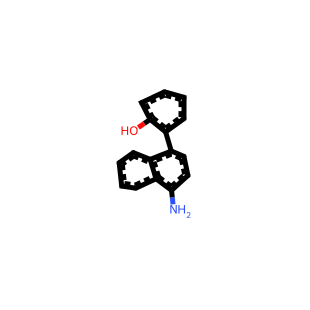 Nc1ccc(-c2ccccc2O)c2ccccc12